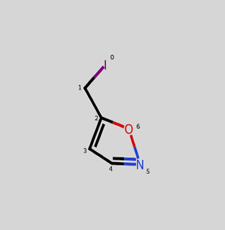 ICc1ccno1